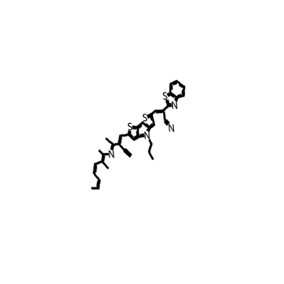 C#CC(=C\c1cc2c(s1)c1sc(/C=C(\C#N)c3nc4ccccc4s3)cc1n2CCC)/C(C)=N/C(C)=C(C)/C=C\C=C/C